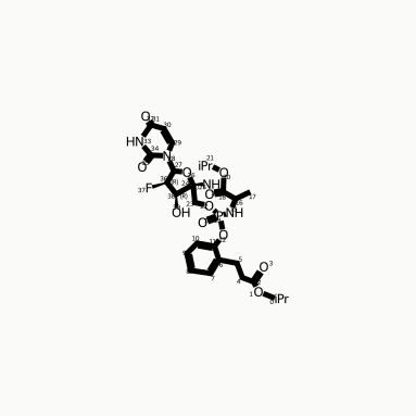 CC(C)OC(=O)CCc1ccccc1OP(=O)(NC(C)C(=O)OC(C)C)OC[C@@]1(N)OC(n2ccc(=O)[nH]c2=O)[C@H](F)[C@@H]1O